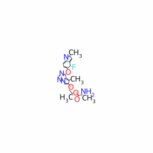 CC1=NC2=CC=C(Oc3ncnn4cc(OCC(C)OC(=O)C(C)N)c(C)c34)[C@@H](F)C2=C1